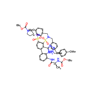 COc1ccc(CN(Cc2ccc(OC)cc2)S(=O)(=O)c2c(S(=O)(=O)N[C@@H]3CCN(C(=O)OC(C)(C)C)C3)ccc(-c3cccc(NC(=O)[C@H](C)NC(=O)OC(C)(C)C)c3N)c2-c2nnn(Cc3ccc(OC)cc3)n2)cc1